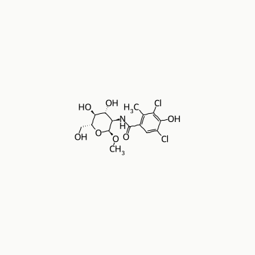 CO[C@H]1O[C@H](CO)[C@@H](O)[C@H](O)[C@H]1NC(=O)c1cc(Cl)c(O)c(Cl)c1C